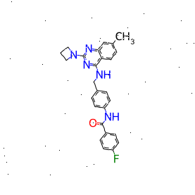 Cc1ccc2c(NCc3ccc(NC(=O)c4ccc(F)cc4)cc3)nc(N3CCC3)nc2c1